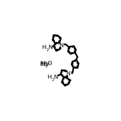 Nc1cc[n+](Cc2ccc(Cc3ccc(C[n+]4ccc(N)c5ccccc54)cc3)cc2)c2ccccc12.O.[Br-].[Br-]